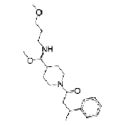 COCCCN[C@H](OC)C1CCN(C(=O)CC(C)c2ccccc2)CC1